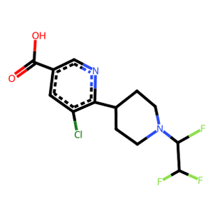 O=C(O)c1cnc(C2CCN(C(F)C(F)F)CC2)c(Cl)c1